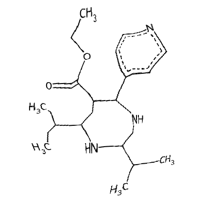 CCOC(=O)C1C(c2ccncc2)NC(C(C)C)NC1C(C)C